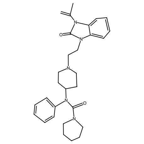 C=C(C)n1c(=O)n(CCN2CCC(N(C(=O)N3CCCCC3)c3ccccc3)CC2)c2ccccc21